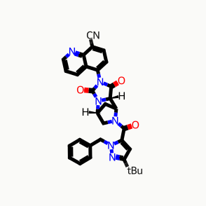 CC(C)(C)c1cc(C(=O)N2C[C@H]3CC2[C@H]2C(=O)N(c4ccc(C#N)c5ncccc45)C(=O)N32)n(Cc2ccccc2)n1